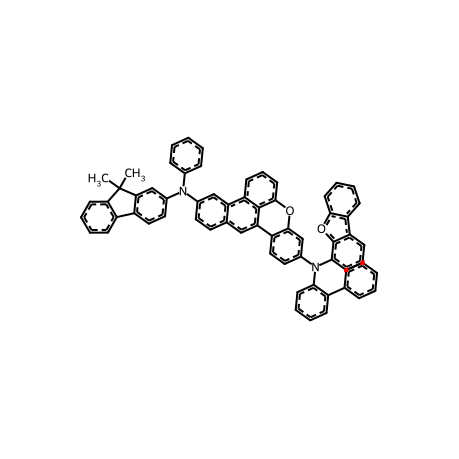 CC1(C)c2ccccc2-c2ccc(N(c3ccccc3)c3ccc4cc5c6c(cccc6c4c3)Oc3cc(N(c4ccccc4-c4ccccc4)c4cccc6c4oc4ccccc46)ccc3-5)cc21